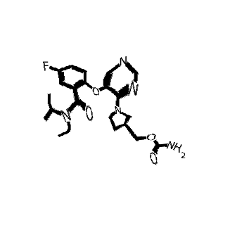 CCN(C(=O)c1cc(F)ccc1Oc1cncnc1N1CCC(COC(N)=O)C1)C(C)C